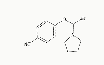 CCC(Oc1ccc(C#N)cc1)N1CCCC1